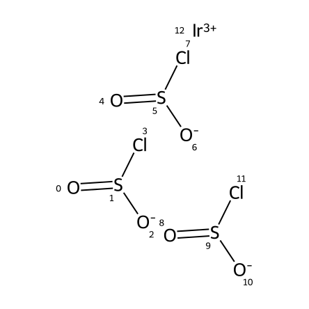 O=S([O-])Cl.O=S([O-])Cl.O=S([O-])Cl.[Ir+3]